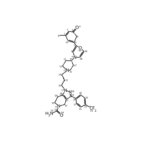 CC1=CC(=O)CC(C2=CN(C3CCN(CCCn4nc(-c5ccc(C(F)(F)F)cc5)c5c4CCN(C(N)=O)C5)CC3)C=CO2)=C1